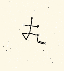 FC(F)(F)C1(NC=S)CC1